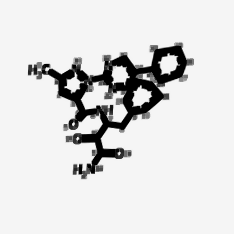 Cc1cc(C(=O)NC(Cc2ccccc2)C(=O)C(N)=O)n(-c2ncc(-c3ccccc3)cn2)n1